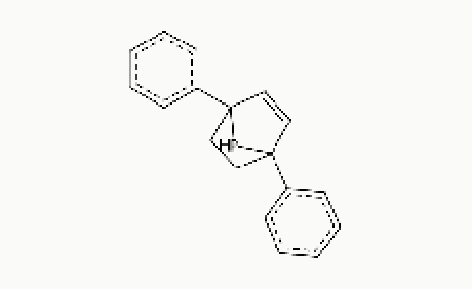 C1=CC2(c3ccccc3)CCC1(c1ccccc1)P2